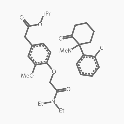 CCCOC(=O)Cc1ccc(OCC(=O)N(CC)CC)c(OC)c1.CNC1(c2ccccc2Cl)CCCCC1=O